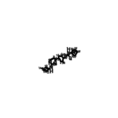 Cc1cc(-c2ccnc(Nc3cnn(C)c3)n2)ccc1CNC(=O)NC12CCC(CC1)CC2